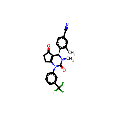 Cc1cc(C#N)ccc1[C@@H]1C2=C(CCC2=O)N(c2cccc(C(F)(F)F)c2)C(=O)N1C